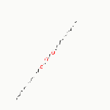 CCCCCCCCCCCCCCOCCOCCOCCCCCCCCCCCCCC